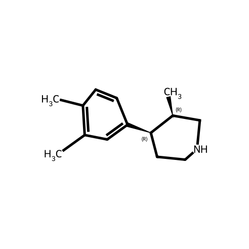 Cc1ccc([C@@H]2CCNC[C@@H]2C)cc1C